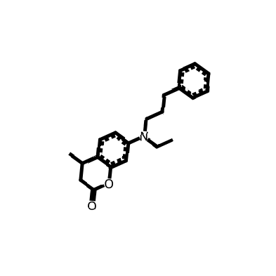 CCN(CCCc1ccccc1)c1ccc2c(c1)OC(=O)CC2C